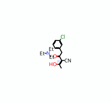 C/C(O)=C(\C#N)C(=O)Cc1cccc(Cl)c1.CCN(CC)CC